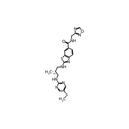 CSc1cnc(NC[C@H](C)CNc2nc3ccc(C(=O)NCc4ncon4)cc3s2)nc1